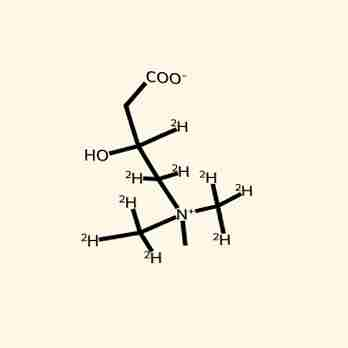 [2H]C(O)(CC(=O)[O-])C([2H])([2H])[N+](C)(C([2H])([2H])[2H])C([2H])([2H])[2H]